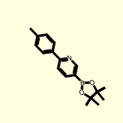 Cc1ccc(-c2ccc(B3OC(C)(C)C(C)(C)O3)cn2)cc1